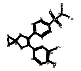 O=S(=O)(c1ccc(C2=C(c3ccc(Cl)c(F)c3)CC3(CC3)C2)cc1)C(F)F